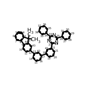 CC1(C)c2c#cccc2-c2ccc(-c3cccc(-c4cccc(-c5nc(-c6ccccc6)nc(-c6ccccc6)n5)c4)c3)cc21